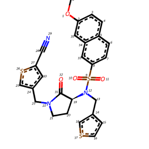 COc1ccc2ccc(S(=O)(=O)N(Cc3ccsc3)[C@H]3CCN(Cc4csc(C#N)c4)C3=O)cc2c1